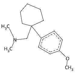 COc1ccc(C2(CN(C)C)CCCCC2)cc1